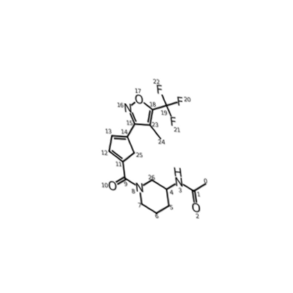 CC(=O)NC1CCCN(C(=O)C2=CC=C(c3noc(C(F)(F)F)c3C)C2)C1